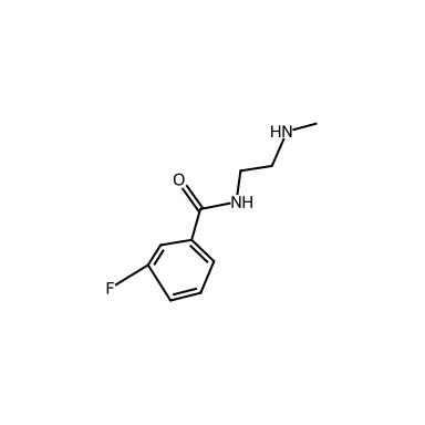 CNCCNC(=O)c1cccc(F)c1